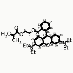 C=C(C)C(=O)OCCOC(=O)c1ccccc1C1=C2C=CC(N(CC)CC)C=C2Oc2cc(N(CC)CC)ccc21